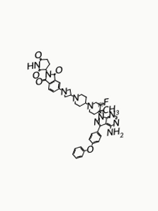 C[C@@]1(n2nc(-c3ccc(Oc4ccccc4)cc3)c3c(N)ncnc32)CCN(C2CCN(C3CN(c4ccc5c(c4)C(=O)N(C4CCC(=O)NC4=O)C5=O)C3)CC2)C[C@H]1F